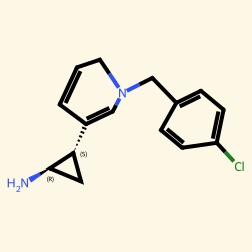 N[C@@H]1C[C@H]1C1=CN(Cc2ccc(Cl)cc2)CC=C1